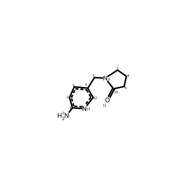 Nc1ccc(CN2CCCC2=O)cn1